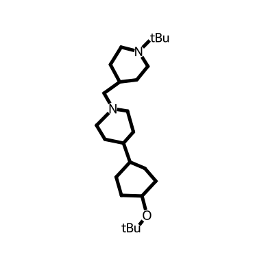 CC(C)(C)OC1CCC(C2CCN(CC3CCN(C(C)(C)C)CC3)CC2)CC1